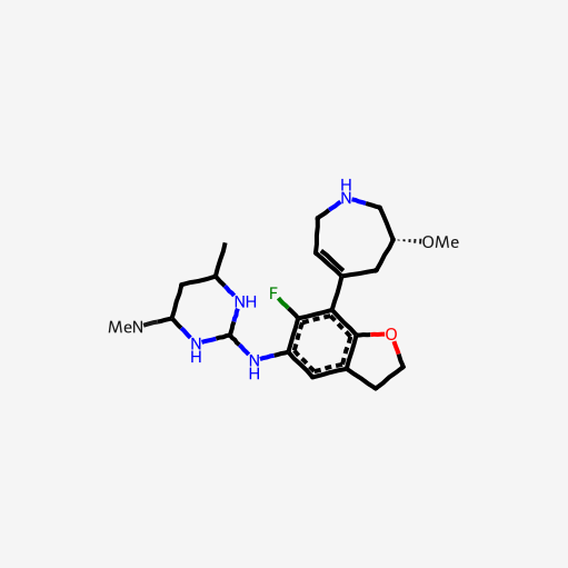 CNC1CC(C)NC(Nc2cc3c(c(C4=CCNC[C@H](OC)C4)c2F)OCC3)N1